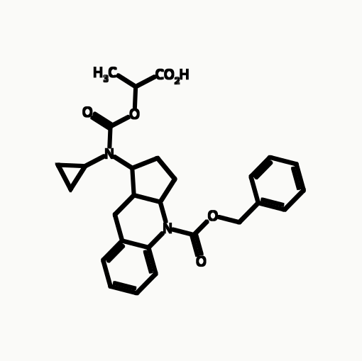 CC(OC(=O)N(C1CC1)C1CCC2C1Cc1ccccc1N2C(=O)OCc1ccccc1)C(=O)O